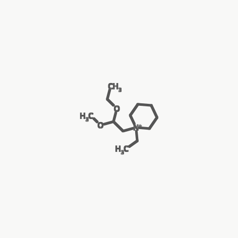 CCOC(C[N+]1(CC)CCCCC1)OC